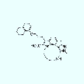 Cc1nn(C)c2c1-c1cccc3c(CCCOc4cccc5c4CCCC5)c(C(=O)O)n(c13)CCCCCNC2